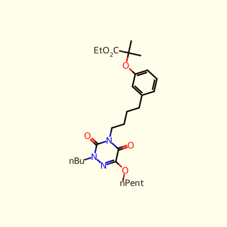 CCCCCOc1nn(CCCC)c(=O)n(CCCCc2cccc(OC(C)(C)C(=O)OCC)c2)c1=O